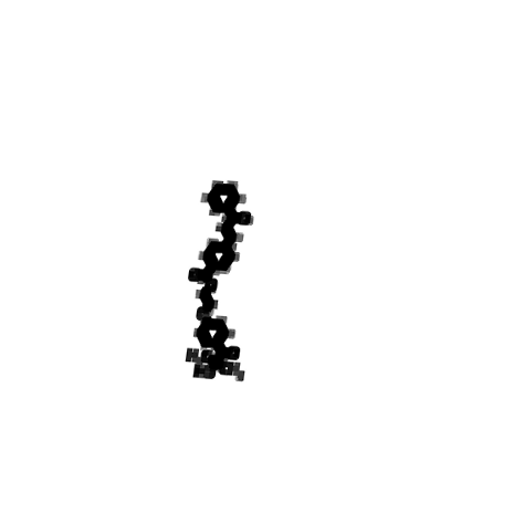 CC(C)(O)C(=O)c1ccc(OCCOC(=O)c2ccc(/C=C/C(=O)c3ccccc3)cc2)cc1